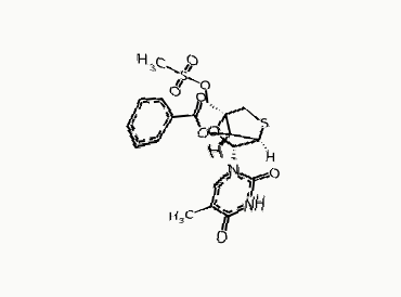 Cc1cn([C@@H]2O[C@@]3(COS(C)(=O)=O)CS[C@@H]2[C@@H]3OC(=O)c2ccccc2)c(=O)[nH]c1=O